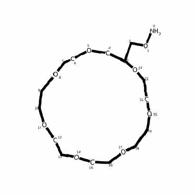 NOCC1COCCOCCOCCOCCOCCOCCO1